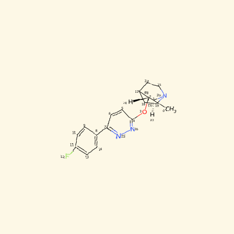 C[C@H]1[C@H](Oc2ccc(-c3ccc(F)cc3)nn2)C2CCN1CC2